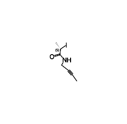 CC#CCNC(=O)[C@H](C)I